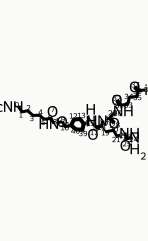 CC(=O)NCCCCCC(=O)NOCc1ccc(NC(=O)[C@H](CCCNC(N)=O)NC(=O)CNC(=O)CCCC(=O)C(C)C)cc1